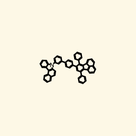 c1ccc(-c2cc(-c3ccc(-c4cccc(-n5c6ccccc6c6c7ccccc7ccc65)c4)cc3)c(-c3ccccc3)c3c2-c2cccc4cccc-3c24)cc1